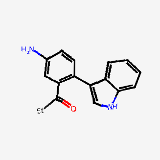 CCC(=O)c1cc(N)ccc1-c1c[nH]c2ccccc12